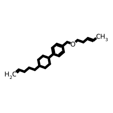 C=CCCCC1CCC(c2ccc(COCCC=CC)cc2)CC1